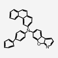 c1ccc(-c2ccc(N(c3ccc4c(c3)oc3ncccc34)c3ccc4ccc5ccccc5c4c3)cc2)cc1